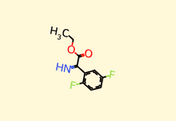 CCOC(=O)C(=N)c1cc(F)ccc1F